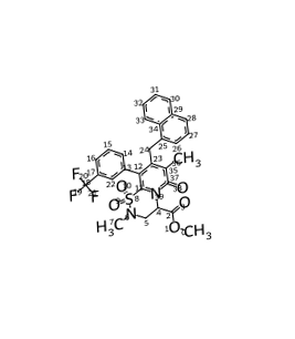 COC(=O)C1CN(C)S(=O)(=O)c2c(-c3cccc(C(F)(F)F)c3)c(Cc3cccc4ccccc34)c(C)c(=O)n21